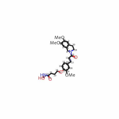 COc1cc2c(cc1OC)CN(C(=O)/C=C/c1ccc(OCCCC(=O)NO)c(OC)c1)CC2